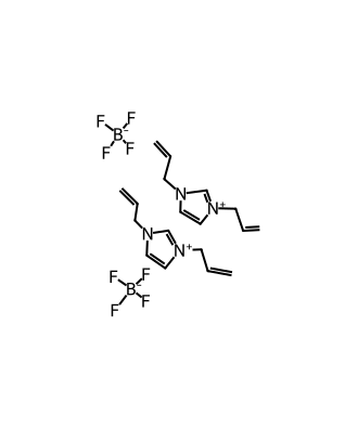 C=CCn1cc[n+](CC=C)c1.C=CCn1cc[n+](CC=C)c1.F[B-](F)(F)F.F[B-](F)(F)F